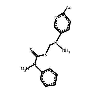 CC(=O)c1ccc(N(N)CSC(=S)N(c2ccccc2)[N+](=O)[O-])cn1